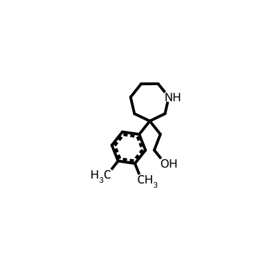 Cc1ccc(C2(CCO)CCCCNC2)cc1C